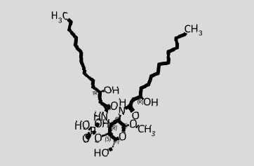 CCCCCCCCCCC[C@@H](O)CC(=O)N[C@@H]1[C@@H](NC(=O)C[C@H](O)CCCCCCCCCCC)[C@H](OC)O[C@H](CO)[C@H]1OP(=O)(O)O